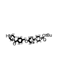 CC(C)(C)OC(=O)N1CCN(c2ncc(OCc3ccc(C(=O)N4CCNCC4)cc3)cn2)CC1